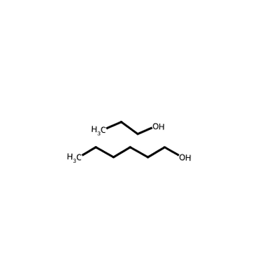 CCCCCCO.CCCO